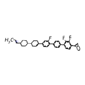 C/C=C/C1CCC(C2CC=C(c3ccc(-c4ccc(-c5ccc(C6CO6)c(F)c5F)cc4)c(F)c3)CC2)CC1